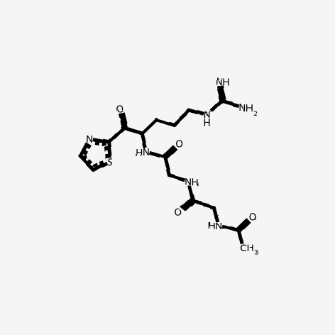 CC(=O)NCC(=O)NCC(=O)NC(CCCNC(=N)N)C(=O)c1nccs1